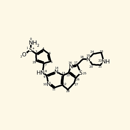 N[S+]([O-])c1cccc(Nc2ncc3c(n2)-c2nc(CN4CCNCC4)sc2CC3)c1